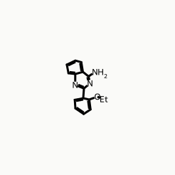 CCOc1ccccc1-c1nc(N)c2ccccc2n1